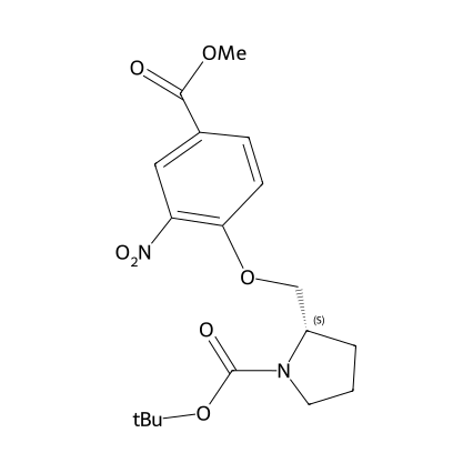 COC(=O)c1ccc(OC[C@@H]2CCCN2C(=O)OC(C)(C)C)c([N+](=O)[O-])c1